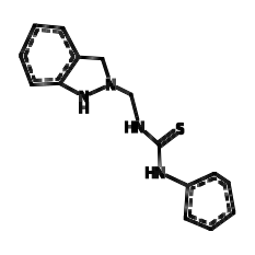 S=C(NCN1Cc2ccccc2N1)Nc1ccccc1